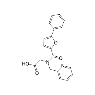 O=C(O)CN(Cc1ccccn1)C(=O)c1ccc(-c2ccccc2)o1